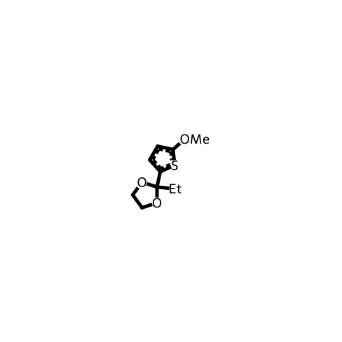 CCC1(c2ccc(OC)s2)OCCO1